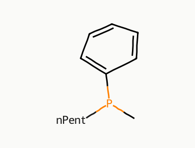 CCCCCP(C)c1ccccc1